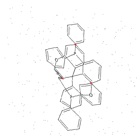 c1ccc(P(c2ccccc2)c2cccc3c2C2(c4ccccc4O3)c3ccccc3Oc3cccc(P(c4ccccc4)c4ccccc4)c32)cc1